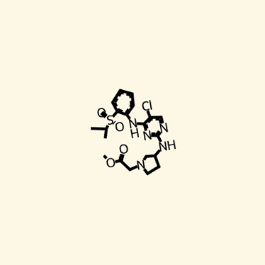 COC(=O)CN1CCC(Nc2ncc(Cl)c(Nc3ccccc3S(=O)(=O)C(C)C)n2)C1